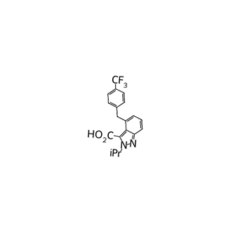 CC(C)n1nc2cccc(Cc3ccc(C(F)(F)F)cc3)c2c1C(=O)O